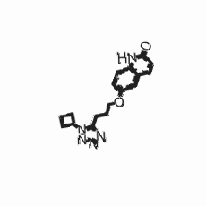 O=c1ccc2cc(OCCCc3nnnn3C3CCC3)ccc2[nH]1